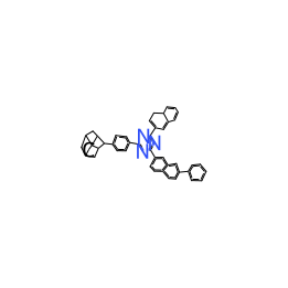 C1=CC2=CC(c3nc(-c4ccc(C5C6CC7CC8CC5C86C7)cc4)nc(-c4ccc5ccc(-c6ccccc6)cc5c4)n3)=CCC2C=C1